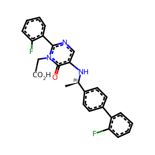 C[C@@H](Nc1cnc(-c2ccccc2F)n(CC(=O)O)c1=O)c1ccc(-c2ccccc2F)cc1